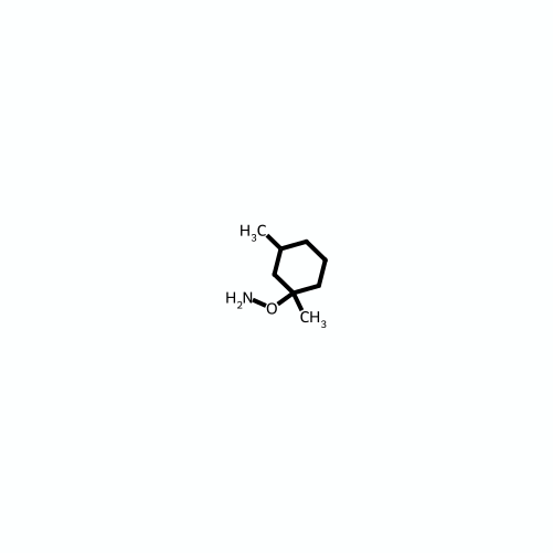 CC1CCCC(C)(ON)C1